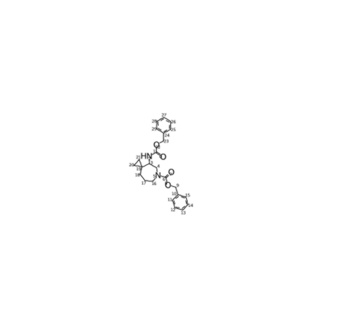 O=C(NC1CN(C(=O)OCc2ccccc2)CCCC12CC2)OCc1ccccc1